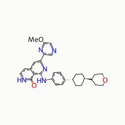 COc1cncc(-c2cc3cc[nH]c(=O)c3c(Nc3ccc([C@H]4CC[C@H](C5CCOCC5)CC4)cc3)n2)n1